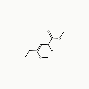 CCC(=CC(Cl)C(=O)OC)OC